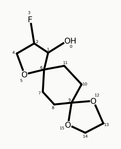 OC1C(F)COC12CCC1(CC2)OCCO1